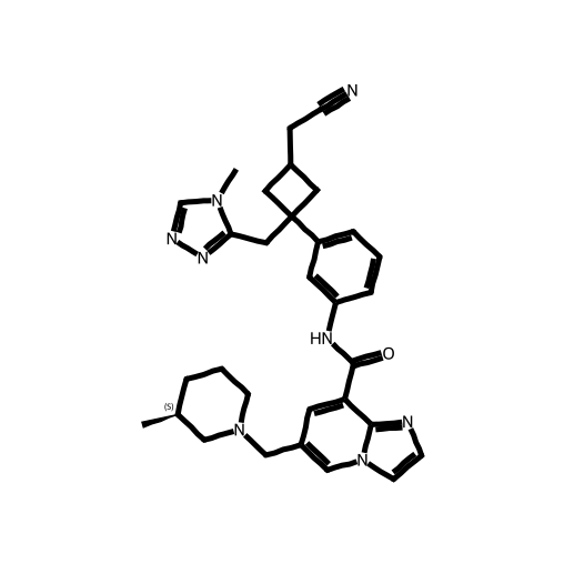 C[C@H]1CCCN(Cc2cc(C(=O)Nc3cccc(C4(Cc5nncn5C)CC(CC#N)C4)c3)c3nccn3c2)C1